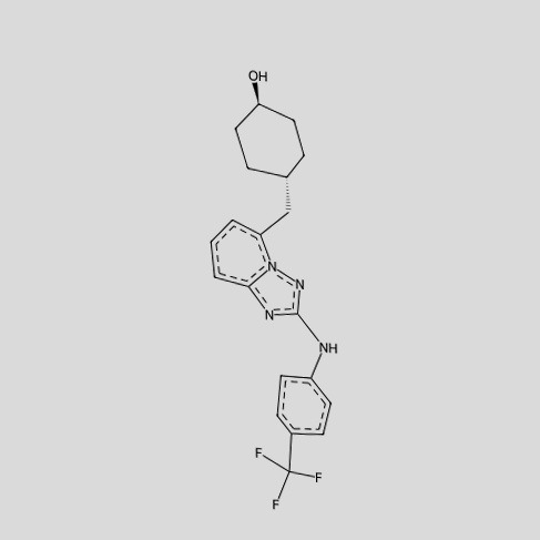 O[C@H]1CC[C@H](Cc2cccc3nc(Nc4ccc(C(F)(F)F)cc4)nn23)CC1